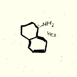 Cl.N[C@H]1CCCc2ccccc21